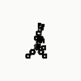 O=S(=O)(NCC1=NN(c2ccc(Cl)cc2Cl)C(c2ccc(Cl)cc2)C1)c1ccc(CC(F)(F)F)cc1